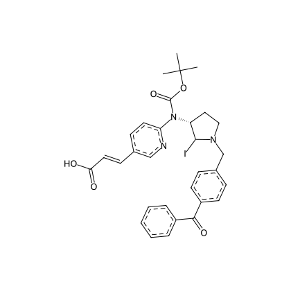 CC(C)(C)OC(=O)N(c1ccc(C=CC(=O)O)cn1)[C@@H]1CCN(Cc2ccc(C(=O)c3ccccc3)cc2)C1I